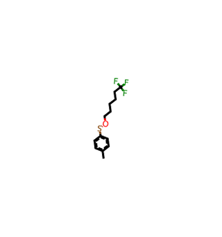 Cc1ccc(SOCCCCCC(F)(F)F)cc1